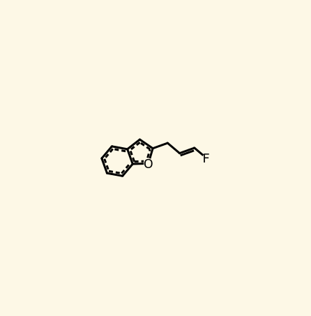 FC=CCc1cc2ccccc2o1